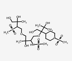 CC(O)(COCC(C(C)(O)CO)S(C)(=O)=O)C(COC(CO)(C1CCN(S(C)(=O)=O)CC1)C(C)(C)O)NS(C)(=O)=O